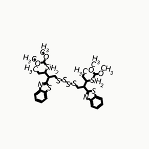 CCC([SiH2]C(OC)OC)C(CSSSSCC(c1nc2ccccc2s1)C(CC)[SiH2]C(OC)OC)c1nc2ccccc2s1